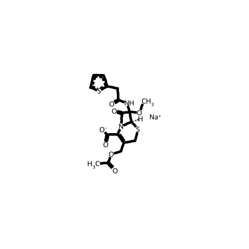 COC1(NC(=O)Cc2cccs2)C(=O)N2C(C(=O)[O-])=C(COC(C)=O)CS[C@@H]21.[Na+]